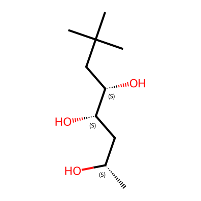 C[C@H](O)C[C@H](O)[C@@H](O)CC(C)(C)C